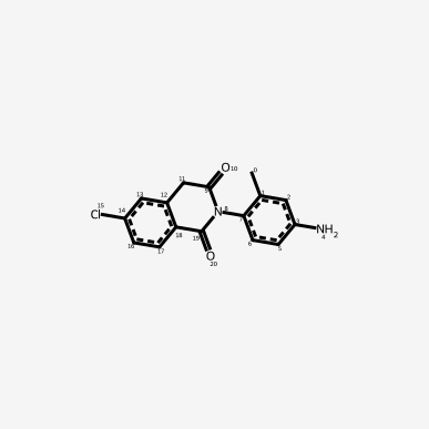 Cc1cc(N)ccc1N1C(=O)Cc2cc(Cl)ccc2C1=O